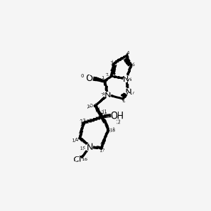 O=c1c2cccn2ncn1CC1(O)CCN(Cl)CC1